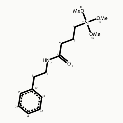 CO[Si](CCCC(=O)NCCc1ccccc1)(OC)OC